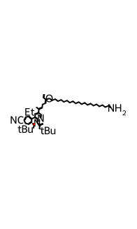 C=C/C(=C\C/C=C(\C)c1cnc(N(C(=C)CC(C)(C)C)C(=C)CC(C)(C)C)c(C2=CC=C(C#N)CC=C2)c1CC)OCCCCCCCCCCCCCCCCCCCCN